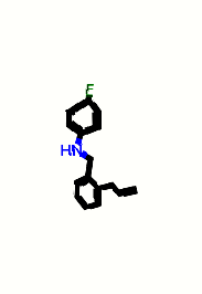 C=CCc1ccccc1CNc1ccc(F)cc1